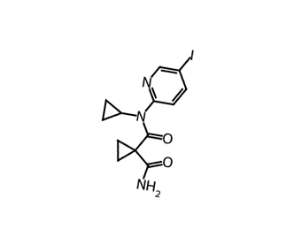 NC(=O)C1(C(=O)N(c2ccc(I)cn2)C2CC2)CC1